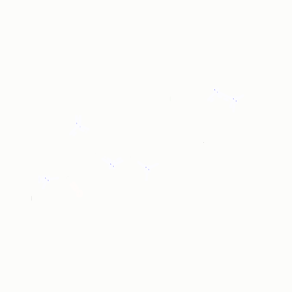 CNC(=O)c1c[nH]c2ccc(N3CCCC4=C3C=C(C(F)F)C(C)(c3cnn(C)c3)C4)nc12